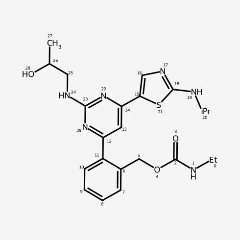 CCNC(=O)OCc1ccccc1-c1cc(-c2cnc(NC(C)C)s2)nc(NCC(C)O)n1